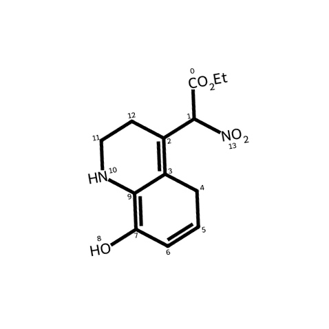 CCOC(=O)C(C1=C2CC=CC(O)=C2NCC1)[N+](=O)[O-]